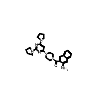 Nc1cc2ccccc2cc1C(=O)N1CCN(c2cc(N3CCCC3)nc(N3CCCC3)n2)CC1